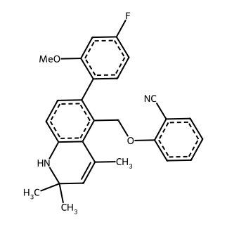 COc1cc(F)ccc1-c1ccc2c(c1COc1ccccc1C#N)C(C)=CC(C)(C)N2